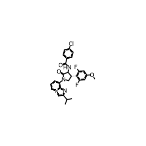 COc1cc(F)c([C@@H]2CN(c3cccn4cc(C(C)C)nc34)C(=O)C2NC(=O)c2ccc(Cl)cc2)c(F)c1